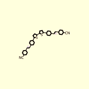 N#Cc1ccc(/C=C/c2ccc(-c3ccc(-c4ccc(-c5ccc(/C=C/c6ccc(C#N)cc6)cc5)s4)s3)cc2)cc1